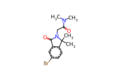 CN(C)C(=O)CN1C(=O)c2cc(Br)ccc2C1(C)C